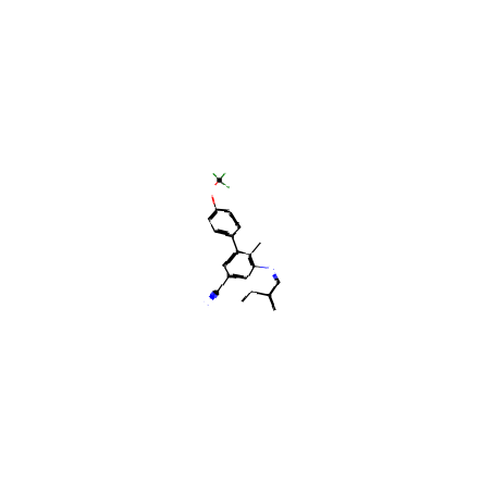 CCC(C)/C=N\c1cc(C#N)cc(-c2ccc(OC(F)(F)F)cc2)c1C